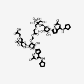 O=C(O)COCC(CO)(OC[C@H]1O[C@@H](c2ccc3c(NC4CCCC4)nc(Cl)nn23)[C@H](O)[C@@H]1OCOC(=O)COCC(CO)(OC[C@H]1O[C@@H](c2ccc3c(NC4CCCC4)nc(Cl)nn23)[C@H](O)[C@@H]1O)P(=O)(O)O)P(=O)(O)O